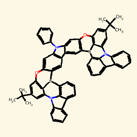 CC(C)(C)c1cc2c3c(c1)-n1c4ccccc4c4cccc(c41)B3c1cc3c4cc5c(cc4n(-c4ccccc4)c3cc1O2)Oc1cc(C(C)(C)C)cc2c1B5c1cccc3c4ccccc4n-2c13